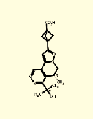 C[C@H]1Cn2nc(C34CC(C(=O)O)(C3)C4)cc2-c2cnnc([C@@](C)(O)C(F)(F)F)c21